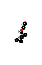 C1=CC2c3cc4c(cc3N(C3C=C(c5ccc6c(c5)sc5ccccc56)C=NC3)C2C=C1)SC1CCC=CC1c1ccccc1-4